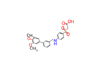 COc1ccc(-c2cccc(CNc3ccc(S(=O)(=O)CC(=O)O)cc3)c2)cc1OC